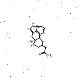 CN1CC(CC(N)=O)CC2c3cccc4[nH]cc(c34)C[C@H]21